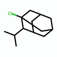 CC(C)C1C2CC3CC(C2)CC1(Cl)C3